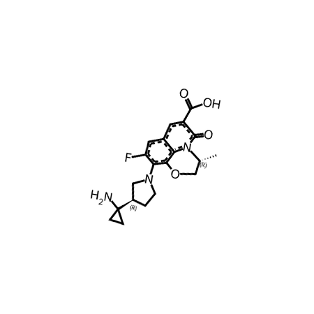 C[C@@H]1COc2c(N3CC[C@@H](C4(N)CC4)C3)c(F)cc3cc(C(=O)O)c(=O)n1c23